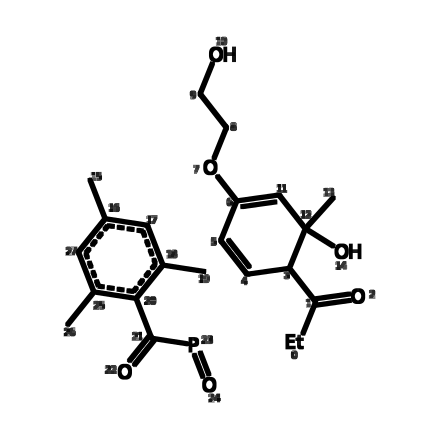 CCC(=O)C1C=CC(OCCO)=CC1(C)O.Cc1cc(C)c(C(=O)P=O)c(C)c1